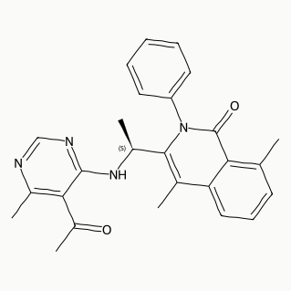 CC(=O)c1c(C)ncnc1N[C@@H](C)c1c(C)c2cccc(C)c2c(=O)n1-c1ccccc1